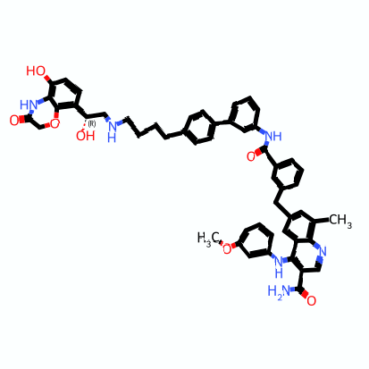 COc1cccc(Nc2c(C(N)=O)cnc3c(C)cc(Cc4cccc(C(=O)Nc5cccc(-c6ccc(CCCCNC[C@H](O)c7ccc(O)c8c7OCC(=O)N8)cc6)c5)c4)cc23)c1